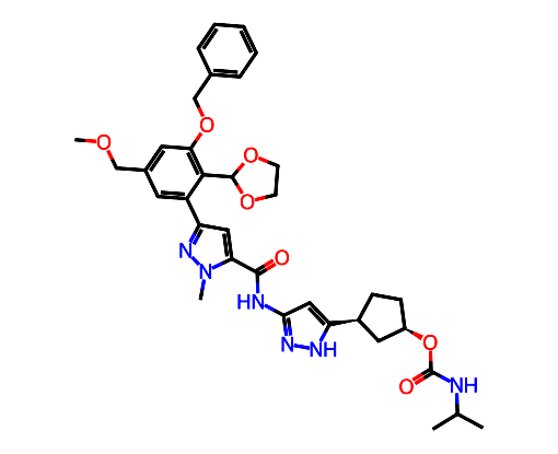 COCc1cc(OCc2ccccc2)c(C2OCCO2)c(-c2cc(C(=O)Nc3cc([C@H]4CC[C@@H](OC(=O)NC(C)C)C4)[nH]n3)n(C)n2)c1